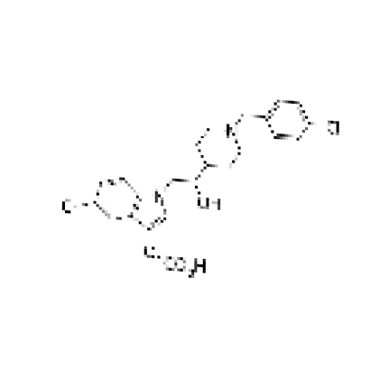 O=C(O)Oc1cn(CC(O)C2CCN(Cc3ccc(Cl)cc3)CC2)c2ccc(Cl)cc12